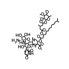 COC(=O)C1[C@@H](OC(=O)CC(CCCCCCCCC(C)C)OC(=O)CC(C)CC(=O)OC2OC(C)C(OC)C(OC)C2OC)CN(C)C([C@@H](OC2O[C@H](CN)[C@@H](O)[C@H]2O)C2OC(n3ccc(=O)[nH]c3=O)[C@H](O)[C@@H]2O)C(=O)N1C